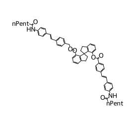 CCCCCC(=O)Nc1ccc(/C=C/c2ccc(COOc3cccc4c3C3(CC4)CCc4cccc(OC(=O)c5ccc(/C=C/c6ccc(NC(=O)CCCCC)cc6)cc5)c43)cc2)cc1